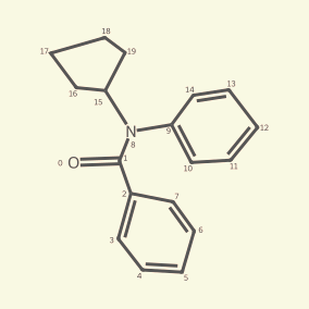 O=C(c1ccccc1)N(c1ccccc1)C1CCCC1